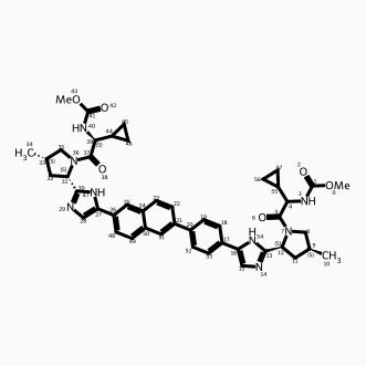 COC(=O)NC(C(=O)N1C[C@@H](C)C[C@H]1c1ncc(-c2ccc(-c3ccc4cc(-c5cnc([C@@H]6C[C@H](C)CN6C(=O)[C@@H](NC(=O)OC)C6CC6)[nH]5)ccc4c3)cc2)[nH]1)C1CC1